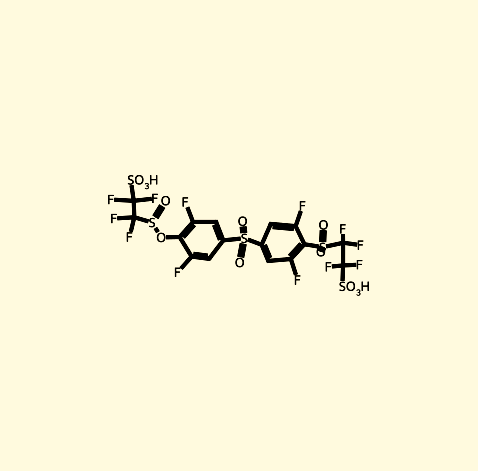 O=S(Oc1c(F)cc(S(=O)(=O)c2cc(F)c(S(=O)(=O)C(F)(F)C(F)(F)S(=O)(=O)O)c(F)c2)cc1F)C(F)(F)C(F)(F)S(=O)(=O)O